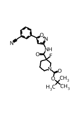 CC(C)(C)OC(=O)N1CCCC(F)(C(=O)Nc2cc(-c3cccc(C#N)c3)on2)C1